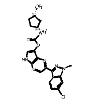 Cn1nc(-c2cnc3[nH]cc(OC(=O)N[C@@H]4CC[C@H](O)C4)c3n2)c2ccc(Cl)cc21